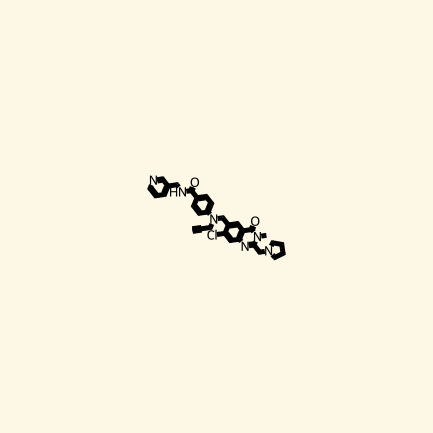 C#CCN(Cc1cc2c(=O)n(C)c(CN3CCCC3)nc2cc1Cl)c1ccc(C(=O)NCc2cccnc2)cc1